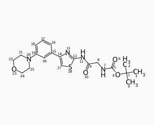 CC(C)(C)OC(=O)NCC(=O)Nc1nc(-c2cccc(N3CCOCC3)c2)cs1